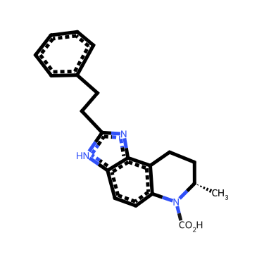 C[C@H]1CCc2c(ccc3[nH]c(CCc4ccccc4)nc23)N1C(=O)O